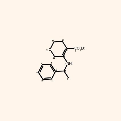 CCOC(=O)C1=C(NC(C)c2ccccc2)COCC1